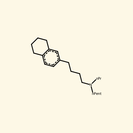 CCCCCN(CCC)CCCCc1ccc2c(c1)CCCC2